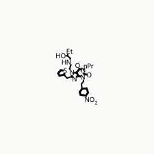 CCCn1c(=O)c2c(nc(Cc3cccs3)n2CCNCC(O)CC)n(CCc2ccc([N+](=O)[O-])cc2)c1=O